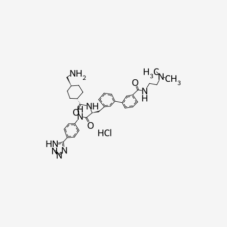 CN(C)CCNC(=O)c1cccc(-c2cccc(C[C@H](NC(=O)[C@H]3CC[C@H](CN)CC3)C(=O)Nc3ccc(-c4nnn[nH]4)cc3)c2)c1.Cl